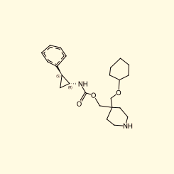 O=C(N[C@@H]1C[C@H]1c1ccccc1)OCC1(COC2CCCCC2)CCNCC1